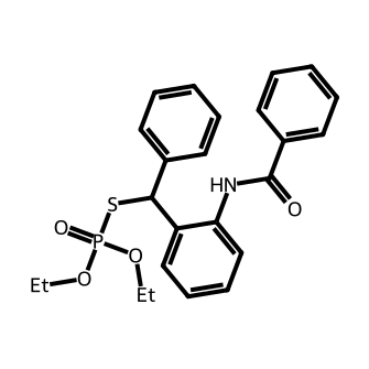 CCOP(=O)(OCC)SC(c1ccccc1)c1ccccc1NC(=O)c1ccccc1